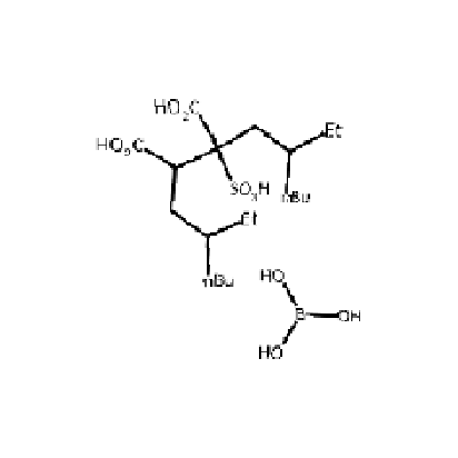 CCCCC(CC)CC(C(=O)O)C(CC(CC)CCCC)(C(=O)O)S(=O)(=O)O.OB(O)O